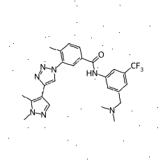 Cc1ccc(C(=O)Nc2cc(CN(C)C)cc(C(F)(F)F)c2)cc1-n1cc(-c2cnn(C)c2C)nn1